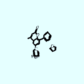 Cc1cc(=O)oc2c(-c3ccccc3)cc(-[c-]3cccc3)cc12.[Fe+2].c1cc[cH-]c1